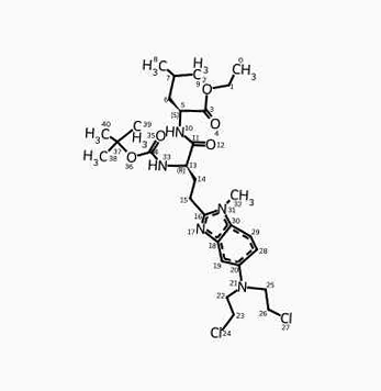 CCOC(=O)[C@H](CC(C)C)NC(=O)[C@@H](CCc1nc2cc(N(CCCl)CCCl)ccc2n1C)NC(=O)OC(C)(C)C